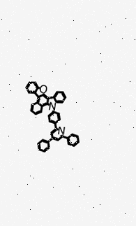 c1ccc(-c2cc(-c3ccccc3)nc(-c3ccc(-n4c5ccccc5c5c6oc7ccccc7c6c6ccccc6c54)cc3)c2)cc1